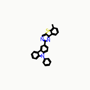 Cc1cccc2c1sc1cnc(-c3ccc4c(c3)c3ccccc3n4-c3ccccc3)nc12